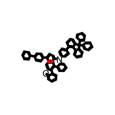 c1ccc(-c2ccc(-c3ccc(N(c4ccc(-c5cccc6c5-c5ccccc5C6(c5ccccc5)c5ccccc5)cc4)c4ccccc4-c4cccc5oc6ccccc6c45)cc3)cc2)cc1